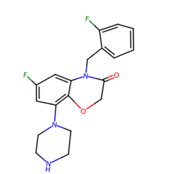 O=C1COc2c(N3CCNCC3)cc(F)cc2N1Cc1ccccc1F